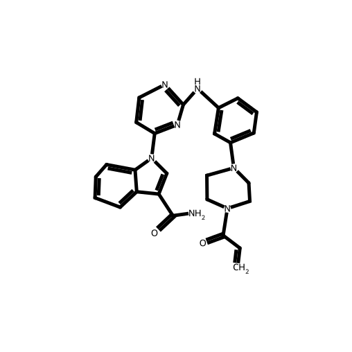 C=CC(=O)N1CCN(c2cccc(Nc3nccc(-n4cc(C(N)=O)c5ccccc54)n3)c2)CC1